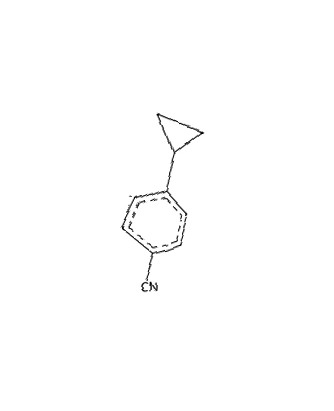 N#Cc1c[c]c(C2CC2)cc1